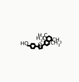 CC1(C)CCC(C)(C)c2cc(-c3ccc(-c4ccc(CO)cc4)o3)ccc21